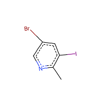 Cc1ncc(Br)cc1I